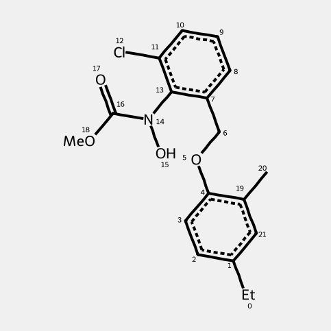 CCc1ccc(OCc2cccc(Cl)c2N(O)C(=O)OC)c(C)c1